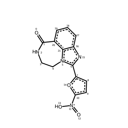 O=C1NCCn2c(-c3ccc([N+](=O)O)o3)nc3cccc1c32